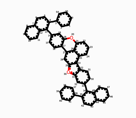 c1ccc(-c2ccc3ccccc3c2-c2ccc3c(c2)Oc2cccc4c2c-3cc2oc3cc(-c5c(-c6ccccc6)ccc6ccccc56)ccc3c24)cc1